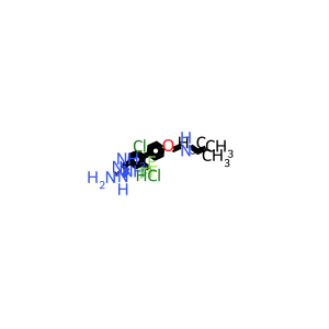 CC(C)(C)CCNCCOc1ccc(-c2c(Cl)cc(C3(N)N=C(N)NN3)cc2C(F)(F)F)cc1.Cl